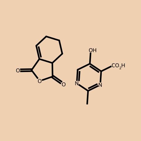 Cc1ncc(O)c(C(=O)O)n1.O=C1OC(=O)C2CCCC=C12